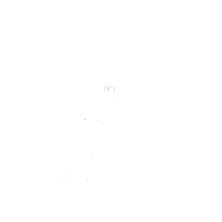 CCCCCCCCCCCCCCCCCC(=O)O.CNCc1ccccc1